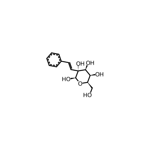 OC[C@H]1O[C@@H](O)[C@@](O)(C=Cc2ccccc2)[C@@H](O)[C@H]1O